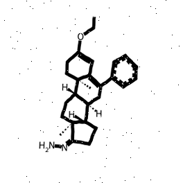 CCOC1=CC2=C(c3ccccc3)C[C@@H]3[C@H](CC[C@]4(C)/C(=N\N)CC[C@@H]34)[C@@]2(C)CC1